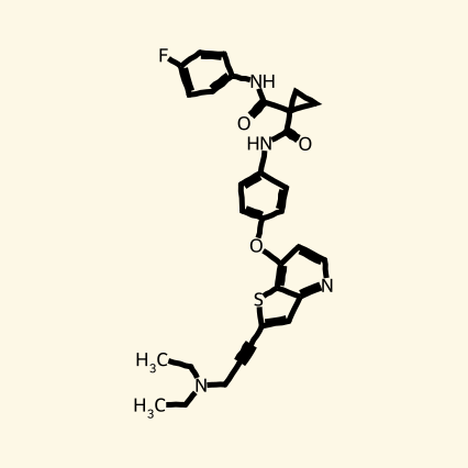 CCN(CC)CC#Cc1cc2nccc(Oc3ccc(NC(=O)C4(C(=O)Nc5ccc(F)cc5)CC4)cc3)c2s1